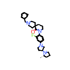 C[C@H]1CCCN1[C@H]1CCN(c2ccc(N3CCCC4(CCN(Cc5ccccc5)CC4)C3=O)c(F)c2)C1